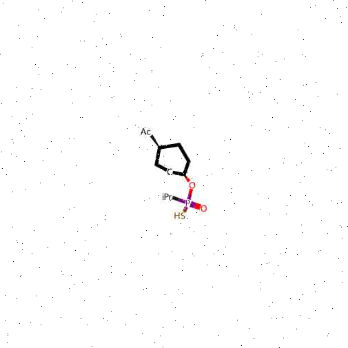 CC(=O)[C@H]1CC[C@@H](OP(=O)(S)C(C)C)CC1